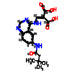 CC(C)(C)CC(=O)Nc1ccc2ncnc(NC=C(C(=O)O)C(=O)O)c2c1